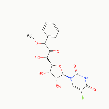 COC(C(=O)C(O)[C@H]1O[C@@H](n2cc(F)c(=O)[nH]c2=O)[C@H](O)[C@@H]1O)c1ccccc1